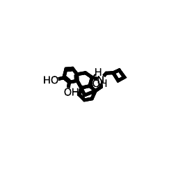 Oc1ccc2c(c1O)C13CCCC4(CN(CC5CCC5)[C@H](C2)C41O)C3